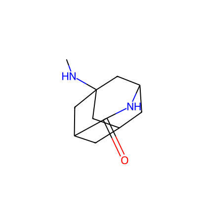 CNC12CC3CC(C1)NC(=O)C(C3)C2